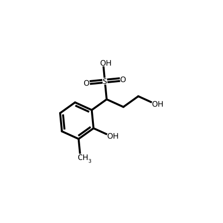 Cc1cccc(C(CCO)S(=O)(=O)O)c1O